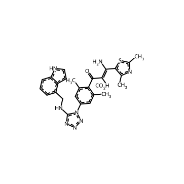 Cc1nc(C)c(C(N)=C(C(=O)O)C(=O)c2c(C)cc(-n3nnnc3NCc3cccc4[nH]ccc34)cc2C)s1